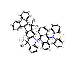 CC1(C)c2ccccc2N(c2c3ccccc3c(N3c4ccccc4Sc4ccccc43)c3ccccc23)c2cc3c(cc21)-c1c(c2ccccc2c2ccccc12)C3(C)C